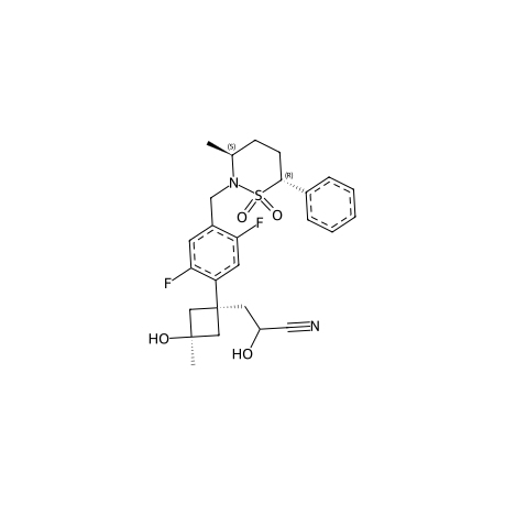 C[C@H]1CC[C@H](c2ccccc2)S(=O)(=O)N1Cc1cc(F)c([C@]2(CC(O)C#N)C[C@](C)(O)C2)cc1F